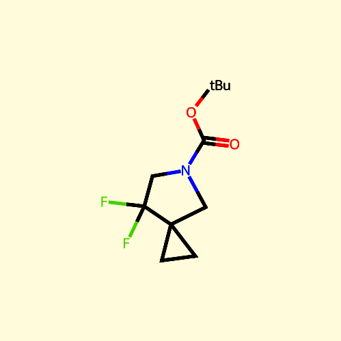 CC(C)(C)OC(=O)N1CC(F)(F)C2(CC2)C1